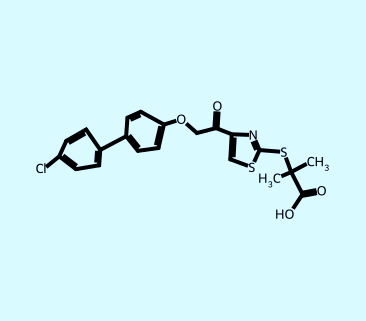 CC(C)(Sc1nc(C(=O)COc2ccc(-c3ccc(Cl)cc3)cc2)cs1)C(=O)O